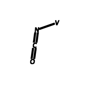 O=C=[N][V]